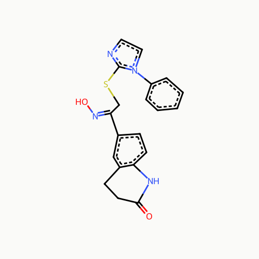 O=C1CCc2cc(C(CSc3nccn3-c3ccccc3)=NO)ccc2N1